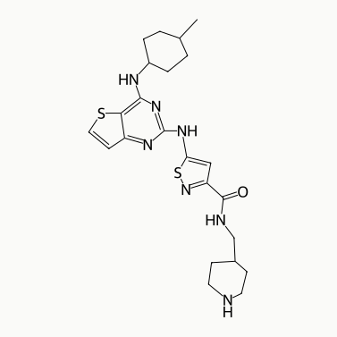 CC1CCC(Nc2nc(Nc3cc(C(=O)NCC4CCNCC4)ns3)nc3ccsc23)CC1